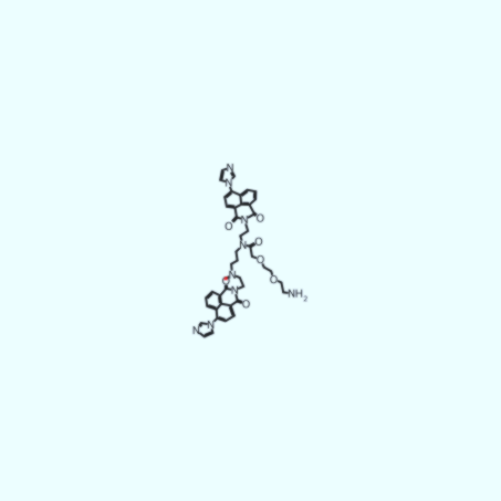 CN(CCCN(CCN1C(=O)c2cccc3c(-n4ccnc4)ccc(c23)C1=O)C(=O)COCCOCCN)CCN1C(=O)c2cccc3c(-n4ccnc4)ccc(c23)C1=O